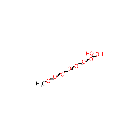 CCOCCOCCOCCOCCOCCOCCOC(O)CO